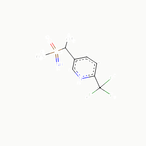 CC(c1ccc(C(F)(F)F)nc1)S(C)(=N)=O